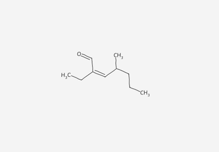 CCCC(C)C=C(C=O)CC